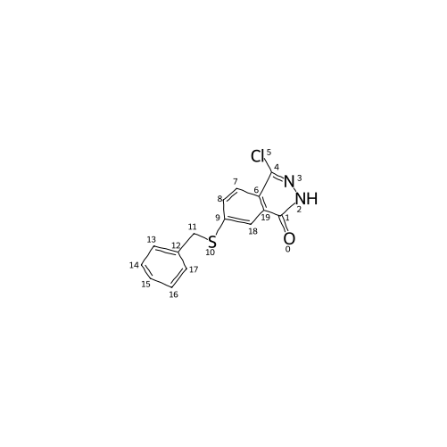 O=c1[nH]nc(Cl)c2ccc(SCc3ccccc3)cc12